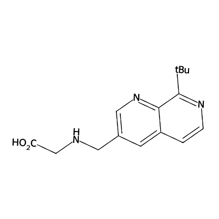 CC(C)(C)c1nccc2cc(CNCC(=O)O)cnc12